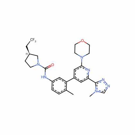 Cc1ccc(NC(=O)N2CC[C@@H](CC(F)(F)F)C2)cc1-c1cc(-c2nncn2C)nc(N2CCOCC2)c1